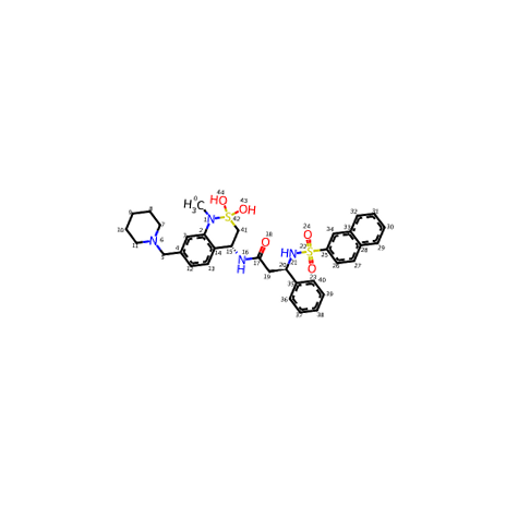 CN1c2cc(CN3CCCCC3)ccc2[C@@H](NC(=O)C[C@@H](NS(=O)(=O)c2ccc3ccccc3c2)c2ccccc2)CS1(O)O